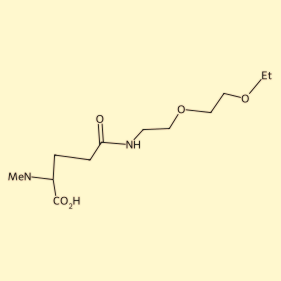 CCOCCOCCNC(=O)CCC(NC)C(=O)O